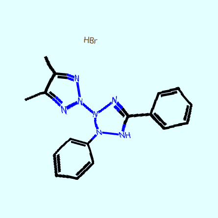 Br.Cc1nn(N2N=C(c3ccccc3)NN2c2ccccc2)nc1C